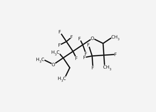 CCC(C)(OC)C(F)(C(F)(F)F)C(F)(F)OC(C)C(C)(F)C(F)(F)F